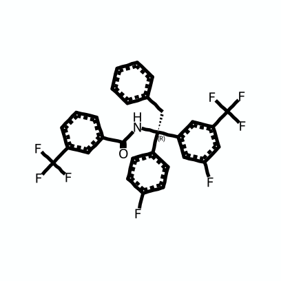 O=C(N[C@](Cc1ccccc1)(c1ccc(F)cc1)c1cc(F)cc(C(F)(F)F)c1)c1cccc(C(F)(F)F)c1